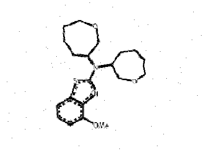 COc1cccc2sc(N(C3CCCCOC3)C3CCCCOC3)nc12